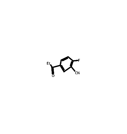 CCC(=O)c1ccc(F)c(C#N)c1